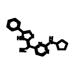 N#CC(=C1NC(c2ccccc2)=CS1)c1ccnc(NC2CCCC2)n1